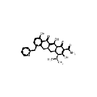 CN(C)[C@@H]1C(O)=C(C(N)=O)C(=O)C2C(O)=C3C(=O)c4c(O)ccc(Cc5ccccn5)c4CC3CC21